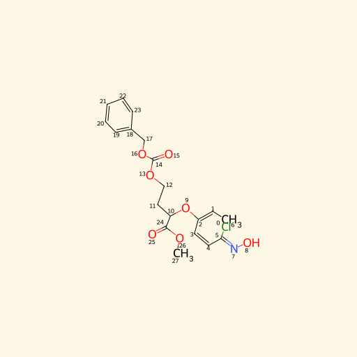 C\C=C(/C=C\C(Cl)=N\O)OC(CCOC(=O)OCc1ccccc1)C(=O)OC